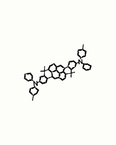 Cc1ccc(N(c2ccccc2)c2ccc3c(c2)C(C)(C)c2ccc4cc5c6c(ccc7cc-3c2c4c76)C(C)(C)c2cc(N(c3ccccc3)c3ccc(C)cc3)ccc2-5)cc1